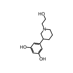 OCCN1CCCC(c2cc(O)cc(O)c2)C1